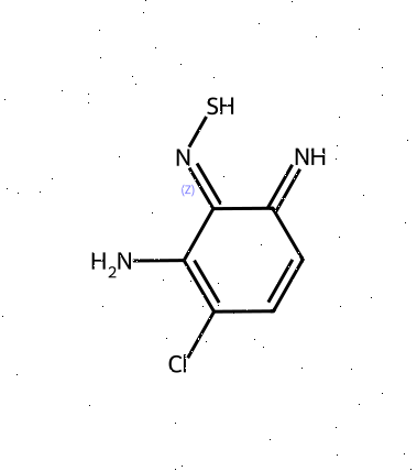 N=C1C=CC(Cl)=C(N)/C1=N/S